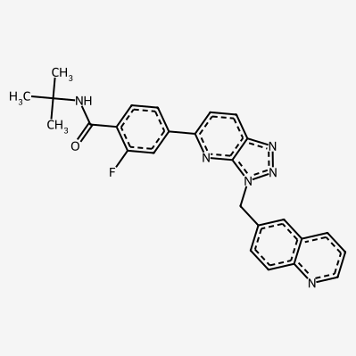 CC(C)(C)NC(=O)c1ccc(-c2ccc3nnn(Cc4ccc5ncccc5c4)c3n2)cc1F